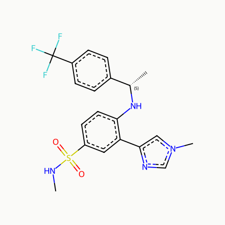 CNS(=O)(=O)c1ccc(N[C@@H](C)c2ccc(C(F)(F)F)cc2)c(-c2cn(C)cn2)c1